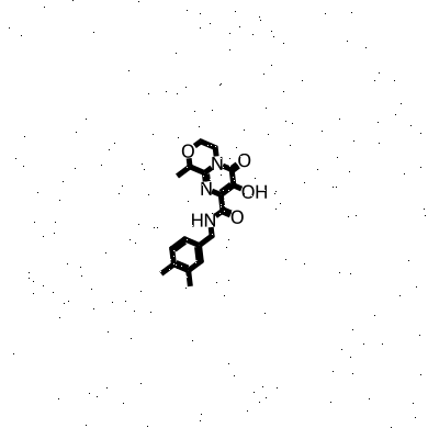 Cc1ccc(CNC(=O)c2nc3n(c(=O)c2O)CCOC3C)cc1C